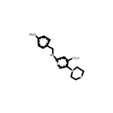 COc1ccc(CNc2ccc(N3CCOCC3)c(C(=O)O)c2)cc1